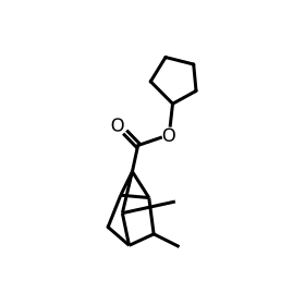 CC1C2CC3C1C3(C(=O)OC1CCCC1)C2C